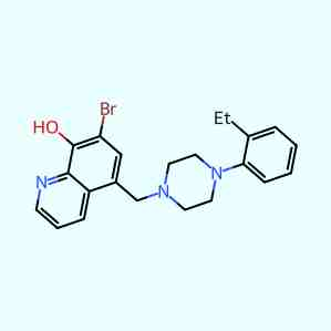 CCc1ccccc1N1CCN(Cc2cc(Br)c(O)c3ncccc23)CC1